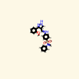 COc1ccccc1C1=NNCC1CNc1ccc(S(=O)(=O)N(C)c2ccccc2)cc1